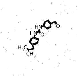 CC(C)Cc1ccc(NC(=O)Nc2ccc(C=O)cc2)cc1